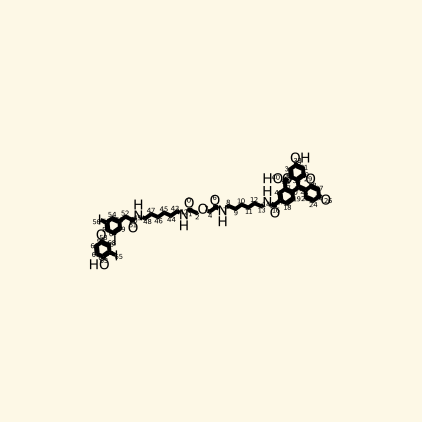 O=C(COCC(=O)NCCCCCCNC(=O)c1ccc(-c2c3ccc(=O)cc-3oc3cc(O)ccc23)c(C(=O)O)c1)NCCCCCCNC(=O)Cc1cc(I)c(Oc2ccc(O)c(I)c2)c(I)c1